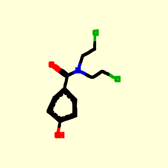 O=C(c1ccc(O)cc1)N(CCCl)CCCl